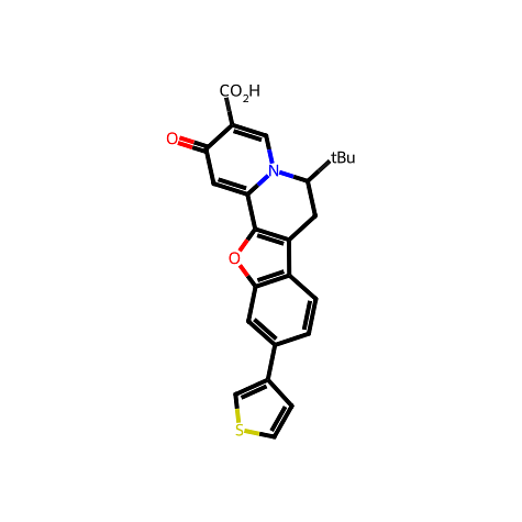 CC(C)(C)C1Cc2c(oc3cc(-c4ccsc4)ccc23)-c2cc(=O)c(C(=O)O)cn21